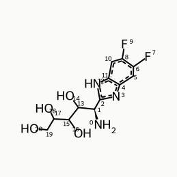 N[C@H](c1nc2cc(F)c(F)cc2[nH]1)C(O)C(O)C(O)CO